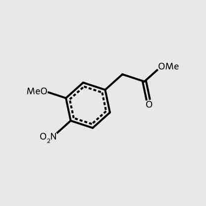 COC(=O)Cc1ccc([N+](=O)[O-])c(OC)c1